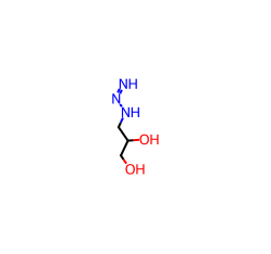 N=NNCC(O)CO